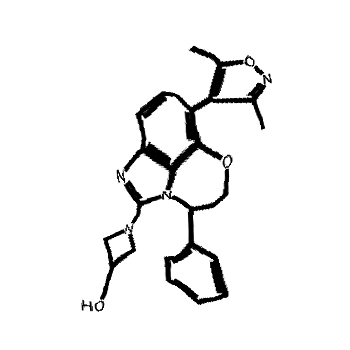 Cc1noc(C)c1-c1ccc2nc(N3CC(O)C3)n3c2c1OCC3c1ccccc1